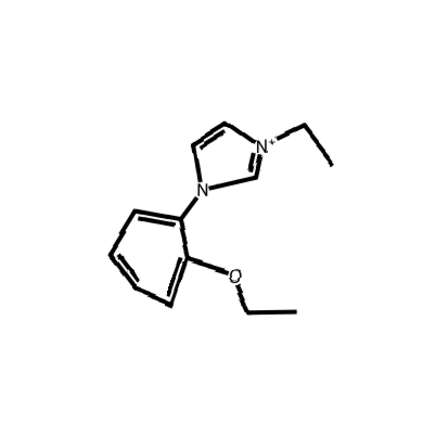 CCOc1ccccc1-n1cc[n+](CC)c1